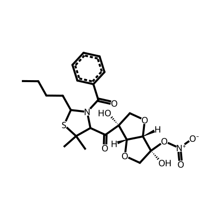 CCCCC1SC(C)(C)C(C(=O)[C@@]2(O)CO[C@H]3[C@@H]2OC[C@]3(O)O[N+](=O)[O-])N1C(=O)c1ccccc1